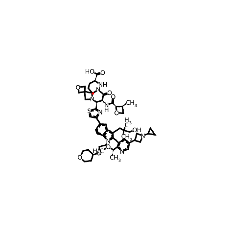 CO[C@@H](C)c1ncc(C2CN(C3CC3)C2)cc1-c1c(CC(C)(C)CO)c2cc(-c3csc([C@H]([C@H](NC(=O)[C@@H]4OC[C@@H]4C)C(=O)N4CCC[C@@H](C(=O)O)N4)N4CC5(COC5)C4)n3)ccc2n1CCOC1CCOCC1